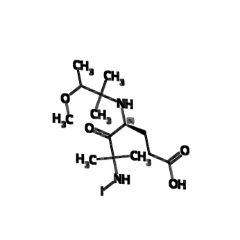 COC(C)C(C)(C)N[C@@H](CCC(=O)O)C(=O)C(C)(C)NI